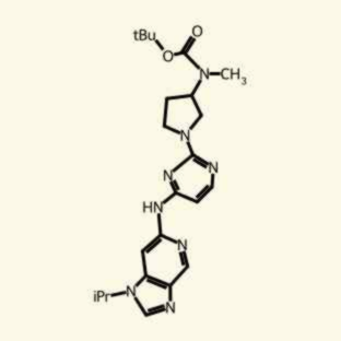 CC(C)n1cnc2cnc(Nc3ccnc(N4CCC(N(C)C(=O)OC(C)(C)C)C4)n3)cc21